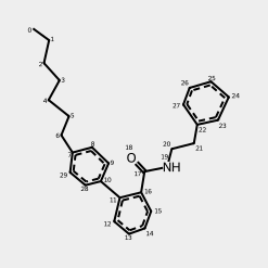 CCCCCCCc1ccc(-c2ccccc2C(=O)NCCc2ccccc2)cc1